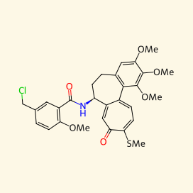 COc1ccc(CCl)cc1C(=O)N[C@H]1CCc2cc(OC)c(OC)c(OC)c2-c2ccc(SC)c(=O)cc21